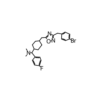 CN(C)C(c1ccc(F)cc1)C1CCC(Cc2nc(Cc3ccc(Br)cc3)no2)CC1